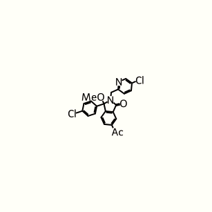 COC1(c2ccc(Cl)cc2)c2ccc(C(C)=O)cc2C(=O)N1Cc1ccc(Cl)cn1